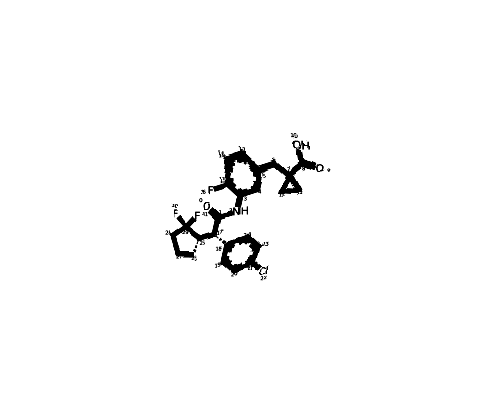 O=C(Nc1cc(CC2(C(=O)O)CC2)ccc1F)[C@H](c1ccc(Cl)cc1)[C@@H]1CCCC1(F)F